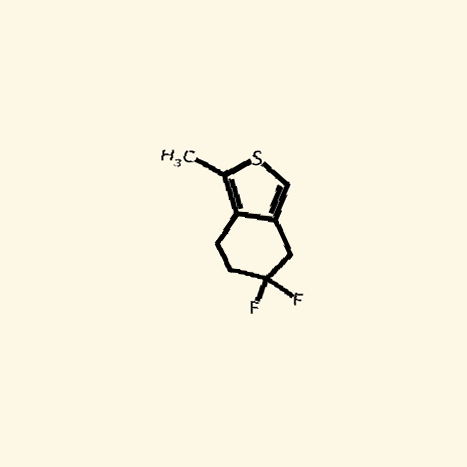 Cc1scc2c1CCC(F)(F)C2